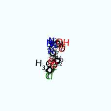 CC1(c2ccc(Cl)cc2F)Oc2cccc(C3CCN(Cc4nnc(CO)n4C[C@@H]4CCO4)CC3)c2O1